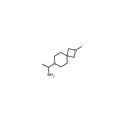 CC(N)N1CCC2(CC1)CN(C)C2